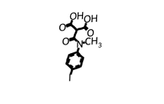 CN(C(=O)C(C(=O)O)C(=O)O)c1ccc(I)cc1